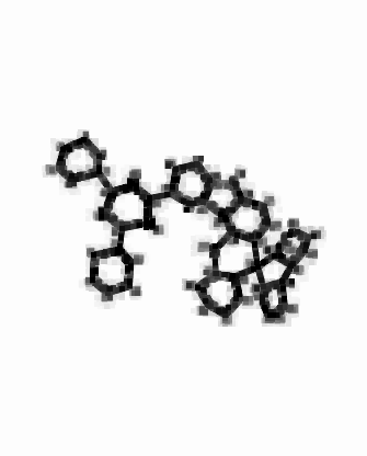 c1ccc(-c2nc(-c3ccccc3)nc(-c3ccc4sc5ccc6c(c5c4c3)Sc3ccccc3C63c4ccccc4-c4ccccc43)n2)cc1